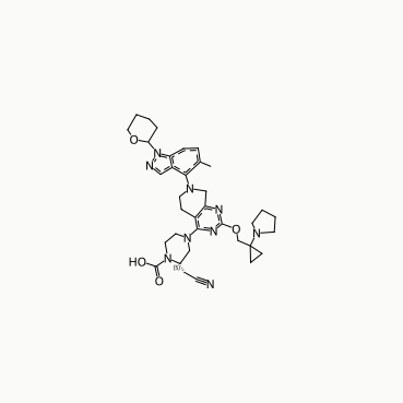 Cc1ccc2c(cnn2C2CCCCO2)c1N1CCc2c(nc(OCC3(N4CCCC4)CC3)nc2N2CCN(C(=O)O)[C@@H](CC#N)C2)C1